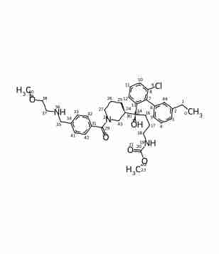 CCc1cccc(-c2c(Cl)cccc2[C@](O)(CCCNC(=O)OC)[C@@H]2CCCN(C(=O)c3ccc(CNCCOC)cc3)C2)c1